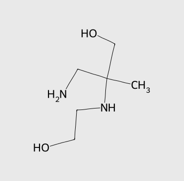 CC(CN)(CO)NCCO